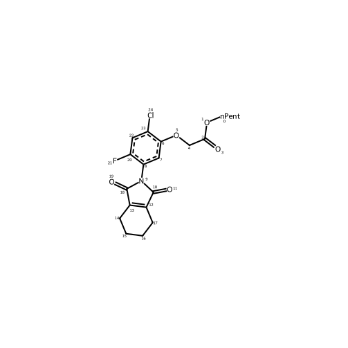 CCCCCOC(=O)COc1cc(N2C(=O)C3=C(CCCC3)C2=O)c(F)cc1Cl